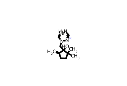 C=CN(CC1(O)C(=C)CCC1(C)C)/N=C\N